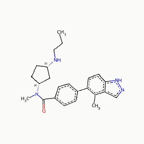 CCCN[C@H]1CC[C@@H](N(C)C(=O)c2ccc(-c3ccc4[nH]ncc4c3C)cc2)C1